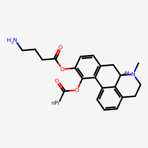 CCCC(=O)Oc1c(OC(=O)CCCN)ccc2c1-c1cccc3c1[C@@H](C2)N(C)CC3